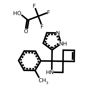 Cc1ccccc1C1(c2ccn[nH]2)NCC12C=CC2.O=C(O)C(F)(F)F